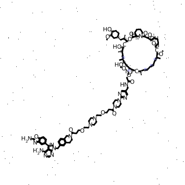 CO[C@H]1C[C@@H]2CC[C@@H](C)[C@@](O)(O2)C(=O)C(=O)N2CCCC[C@H]2C(=O)O[C@H]([C@H](C)C[C@@H]2CC[C@@H](O)[C@H](OC)C2)C[C@@H](O)[C@H](C)/C=C(\C)[C@@H](O)[C@@H](OC)/C(=N/OCC(=O)NCc2cnc(N3CCN(C(=O)CCOCCN4CCN(CCOCCC(=O)N5CCc6cc(Cn7nc(-c8ccc9oc(N)nc9c8)c8c(N)ncnc87)ccc6C5)CC4)CC3)nc2)[C@H](C)C[C@H](C)/C=C/C=C/C=C/1C